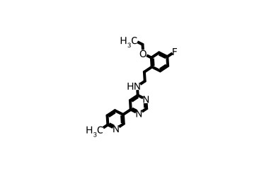 CCOc1cc(F)ccc1CCNc1cc(-c2ccc(C)nc2)ncn1